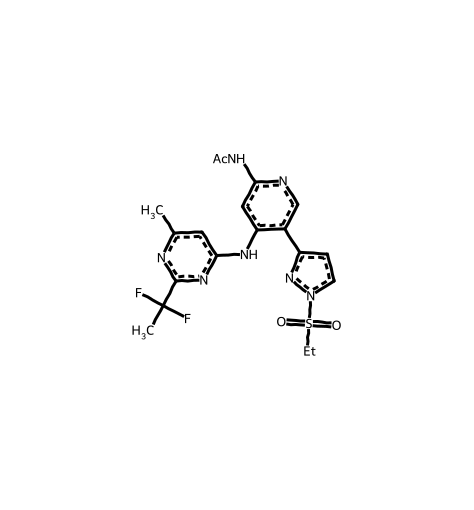 CCS(=O)(=O)n1ccc(-c2cnc(NC(C)=O)cc2Nc2cc(C)nc(C(C)(F)F)n2)n1